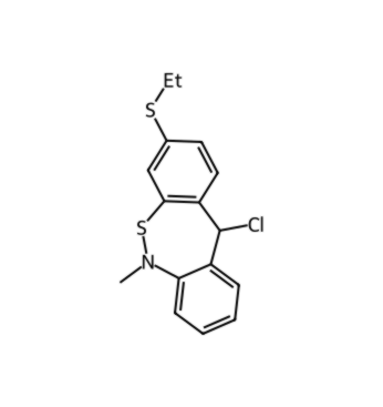 CCSc1ccc2c(c1)SN(C)c1ccccc1C2Cl